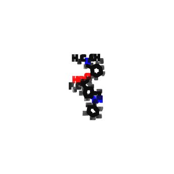 CN(C)Cc1ccccc1OCC(O)(c1ccc2c(cnn2-c2ccccc2)c1)C(F)(F)F